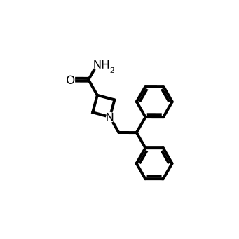 NC(=O)C1CN(CC(c2ccccc2)c2ccccc2)C1